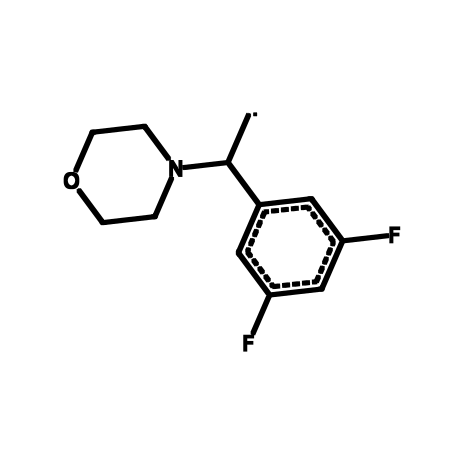 [CH2]C(c1cc(F)cc(F)c1)N1CCOCC1